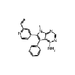 C=Cc1cc(-c2c(-c3ccccc3)c3c(N)ncnc3n2C)ccn1